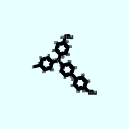 Cc1ccc(N(c2ccc(-c3ccc(C(C)(C)C)cc3)cc2)c2ccc(C(C)(C)C)cc2)cc1